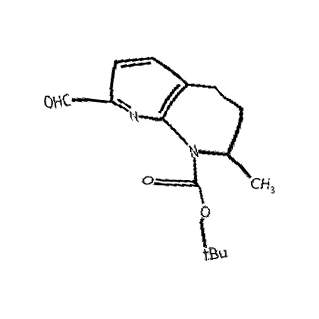 CC1CCc2ccc(C=O)nc2N1C(=O)OC(C)(C)C